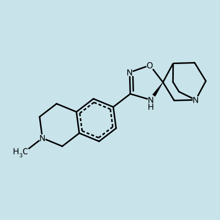 CN1CCc2cc(C3=NO[C@]4(CN5CCC4CC5)N3)ccc2C1